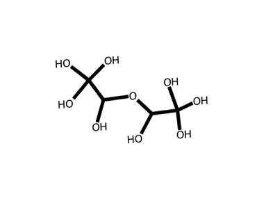 OC(OC(O)C(O)(O)O)C(O)(O)O